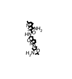 Cc1ccc2c(N)c(C(=O)N[C@H]3COc4nc(N5C[C@H](OC(C)C)[C@@H](N)C5)ccc4C3)sc2n1